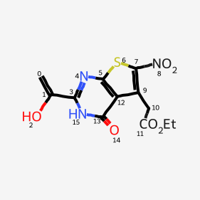 C=C(O)c1nc2sc([N+](=O)[O-])c(CC(=O)OCC)c2c(=O)[nH]1